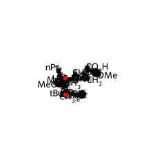 C=C1C[C@H](C[C@@H]2CC(=C)C[C@H](C=CC(C)(C)[C@]3(OC)O[C@H](C[C@@H](O[Si](C)(C)C(C)(C)C)[C@@H](C)OCOCc4ccccc4)CC(=CC(=O)OC)[C@@H]3OC(=O)C=CC=CCCC)O2)O[C@H](C[C@H](CC(=O)O)OCc2ccc(OC)cc2)C1